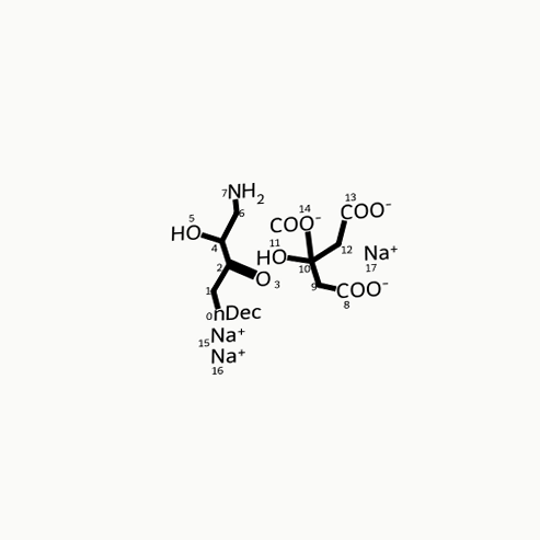 CCCCCCCCCCCC(=O)C(O)CN.O=C([O-])CC(O)(CC(=O)[O-])C(=O)[O-].[Na+].[Na+].[Na+]